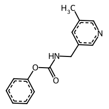 Cc1cncc(CNC(=O)Oc2ccccc2)c1